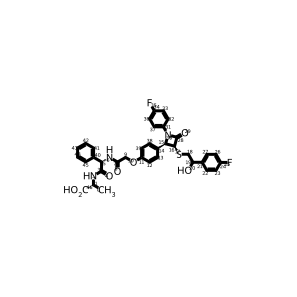 C[C@@H](NC(=O)[C@@H](NC(=O)COc1ccc([C@@H]2[C@H](SCC(O)c3ccc(F)cc3)C(=O)N2c2ccc(F)cc2)cc1)c1ccccc1)C(=O)O